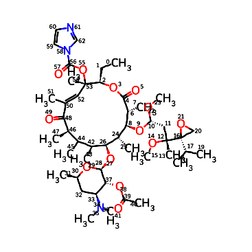 CC[C@H]1OC(=O)[C@H](C)[C@@H](O[C@@H](C[C@@](C)(OC)[C@]2(C(C)C)CO2)OC)[C@H](C)[C@@H](O[C@@H]2O[C@H](C)C[C@H](N(C)C)[C@H]2OC(C)=O)[C@@H](C)C(C)[C@@H](C)C(=O)/C(C)=C/[C@]1(C)OC(=O)n1ccnc1